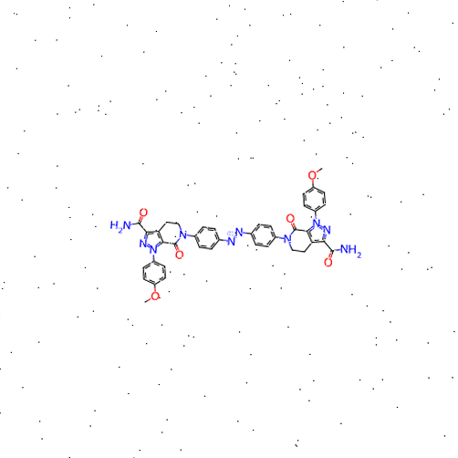 COc1ccc(-n2nc(C(N)=O)c3c2C(=O)N(c2ccc(/N=N/c4ccc(N5CCc6c(C(N)=O)nn(-c7ccc(OC)cc7)c6C5=O)cc4)cc2)CC3)cc1